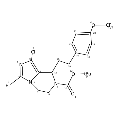 CCc1nc(Cl)c2n1CCN(C(=O)OC(C)(C)C)C2CCc1ccc(OC(F)(F)F)cc1